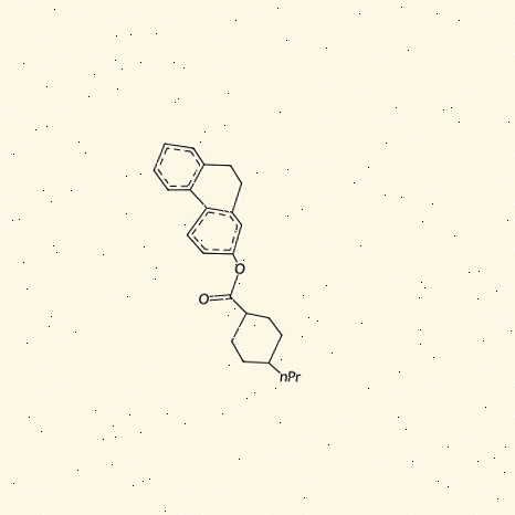 CCCC1CCC(C(=O)Oc2ccc3c(c2)CCc2ccccc2-3)CC1